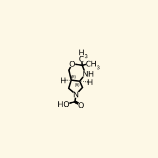 CC1(C)N[C@H]2CN(C(=O)O)C[C@H]2CO1